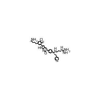 C[C@H](N)CCCc1cc(Cl)c(F)c(-c2cc3cn(-c4ccc([C@@H](CCc5ccncc5)NCCCNC(=N)N)cc4)c(=O)nc3[nH]2)c1